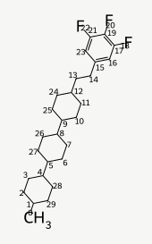 CC1CCC(C2CCC(C3CCC(CCc4cc(F)c(F)c(F)c4)CC3)CC2)CC1